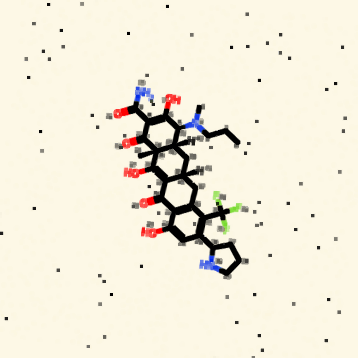 CCCN(C)[C@@H]1C(O)=C(C(N)=O)C(=O)[C@@]2(C)C(O)=C3C(=O)c4c(O)cc(C5CCCN5)c(C(F)(F)F)c4C[C@H]3C[C@@H]12